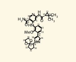 COc1c(Nc2cc(NC(=O)[C@H]3CC3(C)C)ncc2C(N)=O)cccc1-c1cnn(C2CCCC23OCCO3)c1